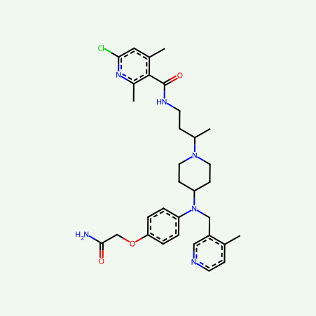 Cc1ccncc1CN(c1ccc(OCC(N)=O)cc1)C1CCN(C(C)CCNC(=O)c2c(C)cc(Cl)nc2C)CC1